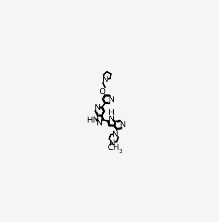 CN1CCN(c2cncc3[nH]c(-c4n[nH]c5cnc(-c6cncc(OCCN7CCCC7)c6)cc45)cc23)CC1